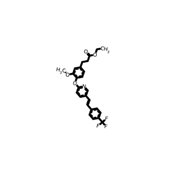 CCOC(=O)CCc1ccc(Oc2ccc(/C=C/c3ccc(C(F)(F)F)cc3)cn2)c(OC)c1